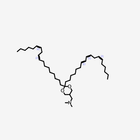 CCCCC/C=C\C/C=C\C=C\CCCCCCC1(CCCCCCCC/C=C\C/C=C\CCCCC)OCC(CN(C)C)CO1